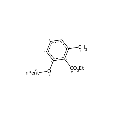 CCCCCOc1cccc(C)c1C(=O)OCC